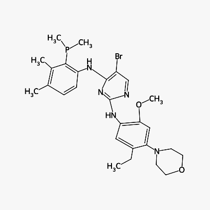 CCc1cc(Nc2ncc(Br)c(Nc3ccc(C)c(C)c3P(C)C)n2)c(OC)cc1N1CCOCC1